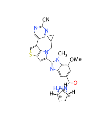 COc1cc(C(=O)N2C[C@H]3CC[C@@H]2[C@@H]3N)cc2nc(-c3cc4scc(-c5cnc(C#N)nc5)c4n3CC3CC3)n(C)c12